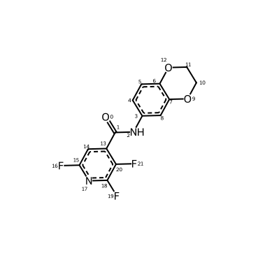 O=C(Nc1ccc2c(c1)OCCO2)c1cc(F)nc(F)c1F